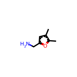 Cc1cc(CN)oc1C